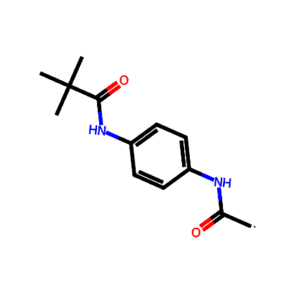 [CH2]C(=O)Nc1ccc(NC(=O)C(C)(C)C)cc1